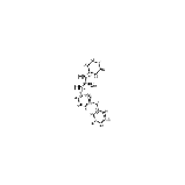 S=C(Nc1cccc(Cc2ccccc2)n1)NC1CCCCC1